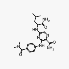 CC(C)CC(Nc1cnc(C(N)=O)c(Nc2ccc(C(=O)N(C)C)cc2)n1)C(N)=O